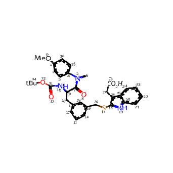 COc1ccc(N(C)C(=O)C(Cc2cccc(CSc3[nH]c4ccccc4c3CC(=O)O)c2)NC(=O)OC(C)(C)C)cc1